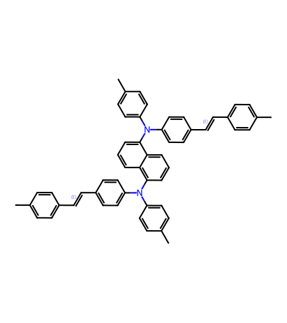 Cc1ccc(/C=C/c2ccc(N(c3ccc(C)cc3)c3cccc4c(N(c5ccc(C)cc5)c5ccc(/C=C/c6ccc(C)cc6)cc5)cccc34)cc2)cc1